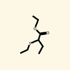 CCOC(=O)C(CC)SCC